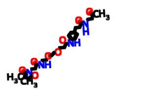 CC(=O)CCNC(=O)CCc1ccc(NC(=O)CCOCCOCCNC(=O)CCN2C(=O)CC(C)(C)C2=O)cc1